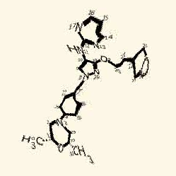 C[C@@H]1CN(C2CCC(n3cc(Nc4ncccn4)c(OCCC4COC4)n3)CC2)C[C@H](C)O1